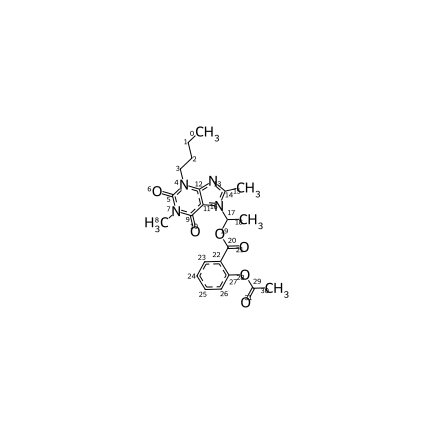 CCCCn1c(=O)n(C)c(=O)c2c1nc(C)n2C(C)OC(=O)c1ccccc1OC(C)=O